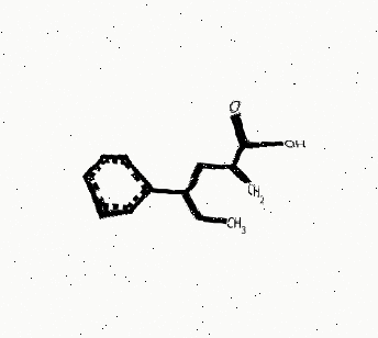 C=C(CC(CC)c1ccccc1)C(=O)O